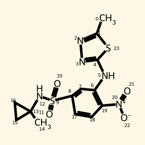 Cc1nnc(Nc2cc(S(=O)(=O)NC3(C)CC3)ccc2[N+](=O)[O-])s1